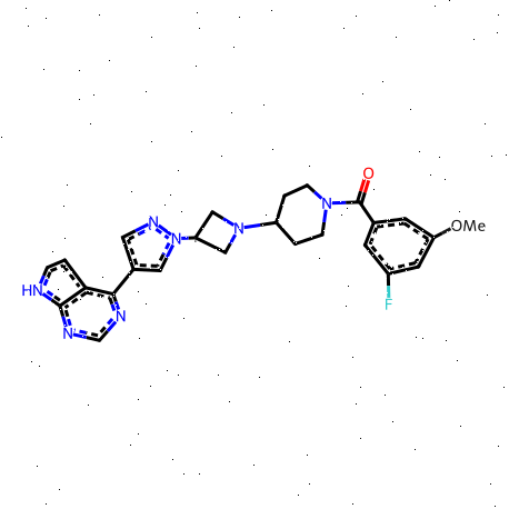 COc1cc(F)cc(C(=O)N2CCC(N3C[C](n4cc(-c5ncnc6[nH]ccc56)cn4)C3)CC2)c1